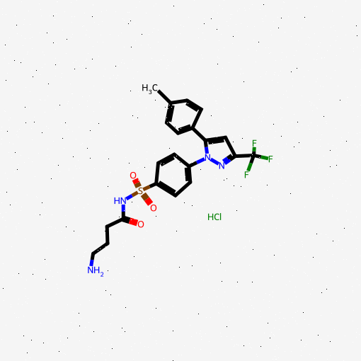 Cc1ccc(-c2cc(C(F)(F)F)nn2-c2ccc(S(=O)(=O)NC(=O)CCCN)cc2)cc1.Cl